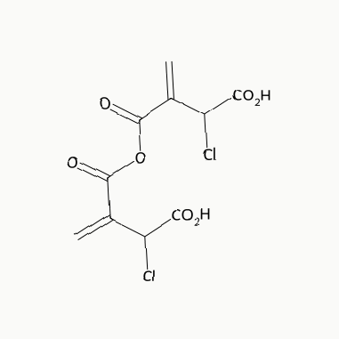 C=C(C(=O)OC(=O)C(=C)C(Cl)C(=O)O)C(Cl)C(=O)O